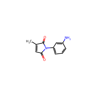 CC1=CC(=O)N(c2cccc(N)c2)C1=O